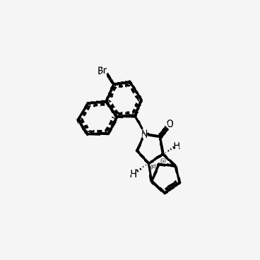 O=C1[C@H]2C3C=CC(C3)[C@H]2CN1c1ccc(Br)c2ccccc12